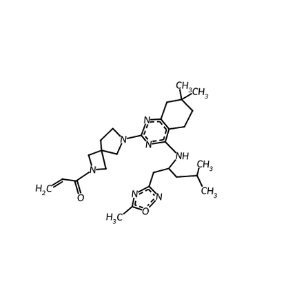 C=CC(=O)N1CC2(CCN(c3nc4c(c(NC(Cc5noc(C)n5)CC(C)C)n3)CCC(C)(C)C4)C2)C1